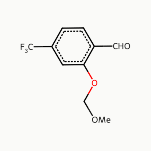 COCOc1cc(C(F)(F)F)ccc1C=O